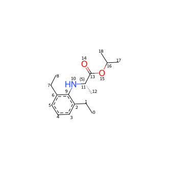 CCc1cccc(CC)c1N[C@@H](C)C(=O)OC(C)C